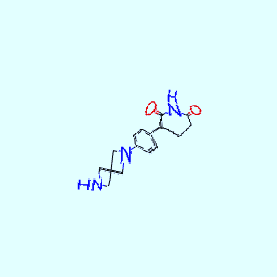 O=C1CCC(c2ccc(N3CC4(CNC4)C3)cc2)C(=O)N1